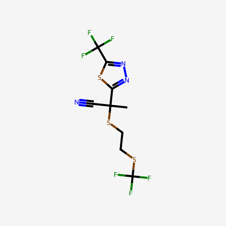 CC(C#N)(SCCSC(F)(F)F)c1nnc(C(F)(F)F)s1